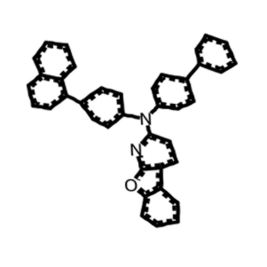 c1ccc(-c2ccc(N(c3ccc(-c4cccc5ccccc45)cc3)c3ccc4c(n3)oc3ccccc34)cc2)cc1